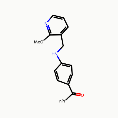 CCCC(=O)c1ccc(NCc2cccnc2OC)cc1